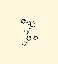 COc1nn(-c2ncccn2)cc1C(=O)N1CC2[C@@H](C1)[C@@H]2Oc1cc(C(C)(C)N)cc(-c2ccc(F)cc2)n1